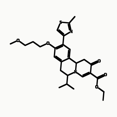 CCOC(=O)C1=CN2C(CC1=O)c1cc(-c3csc(C)n3)c(OCCCOC)cc1CC2C(C)C